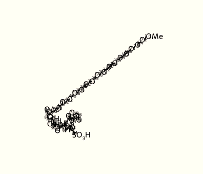 COCCOCCOCCOCCOCCOCCOCCOCCOCCOCCOCCOCCOCCOCCOCCOCCOCCCc1cc(NC(=O)[C@H](C)NC(=O)[C@@H](NC(=O)CN2C(=O)[C@@H](N3C(=O)C=CC3=O)C[C@H]2COCCS(=O)(=O)O)C(C)C)ccc1COC(C)=O